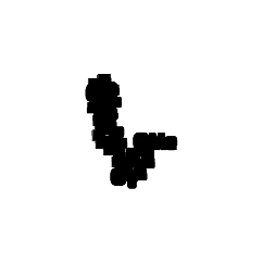 COc1ccc2ccc(=O)n(CCCC3(C)CCN(Cc4cc5c(cn4)OCCO5)CC3)c2c1